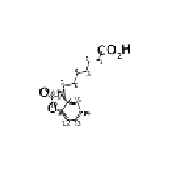 O=C(O)CCCCCCn1c(=O)oc2ccccc21